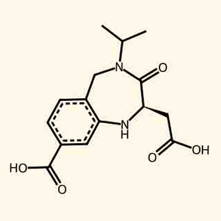 CC(C)N1Cc2ccc(C(=O)O)cc2N[C@H](CC(=O)O)C1=O